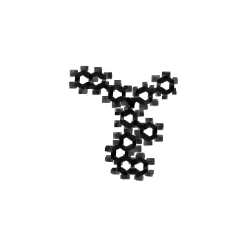 c1ccc(-c2ccc(N(c3ccc(-c4ccc5ccccc5c4)cc3)c3cccc(-c4ccccc4-c4ccc5ccc6ccc7ccccc7c6c5c4)c3)cc2)cc1